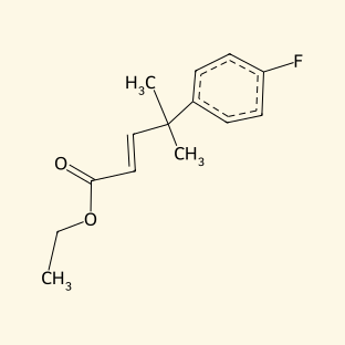 CCOC(=O)C=CC(C)(C)c1ccc(F)cc1